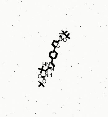 CC(C)(C)OC(=O)N[C@H](c1ncc(-c2ccc(-c3ccc(B4OC(C)(C)C(C)(C)O4)s3)cc2)[nH]1)C(C)(C)C